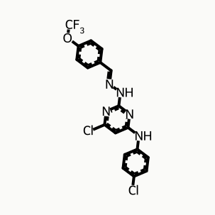 FC(F)(F)Oc1ccc(/C=N/Nc2nc(Cl)cc(Nc3ccc(Cl)cc3)n2)cc1